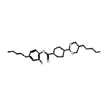 CCCCCc1ccc(OC(=O)C2CCC(C3OCC(CCCCC)CO3)CC2)c(F)c1